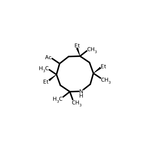 CC[C@@]1(C)CNC(C)(C)C[C@@](C)(CC)C(C(C)=O)C[C@@](C)(CC)C1